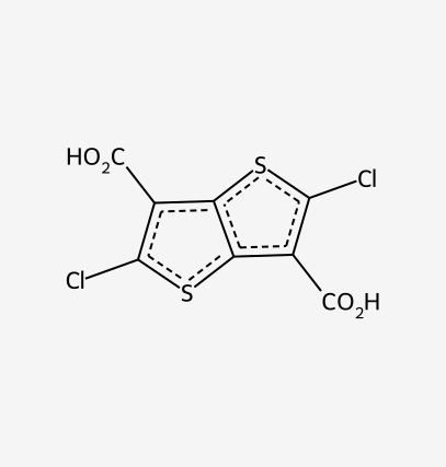 O=C(O)c1c(Cl)sc2c(C(=O)O)c(Cl)sc12